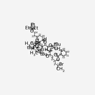 C=C(Br)CC(CCC(=O)/C=C/C(O[Si](C)(C)C(C)(C)C)[C@@H]1O[C@H]2CC[C@H](CCO[Si](CC)(CC)CC)O[C@@H]2[C@H](O[Si](C)(C)C(C)(C)C)[C@@H]1O[Si](C)(C)C(C)(C)C)OC(=O)c1ccccc1